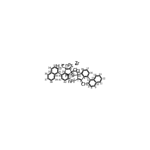 CCCC1=C(C)c2c(-c3cccc4ccccc34)cccc2C1(Cl)[SiH2]C1(Cl)C(CCC)=C(C)c2c(-c3cccc4ccccc34)cccc21.[Zr]